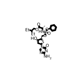 CCC(CC)COC(=O)[C@H](C)N[P@](=O)(OC[C@H]1S[C@@H](n2cnc(N)nc2=O)C[C@H]1O)Oc1ccccc1